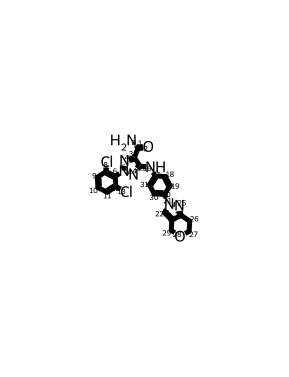 NC(=O)c1nn(-c2c(Cl)cccc2Cl)nc1Nc1ccc(-n2cc3c(n2)CCOC3)cc1